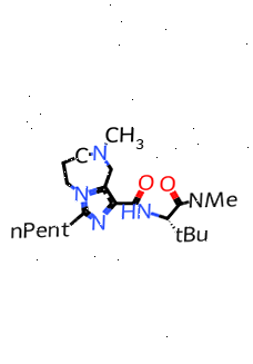 CCCCCc1nc(C(=O)N[C@H](C(=O)NC)C(C)(C)C)c2n1CCCN(C)C2